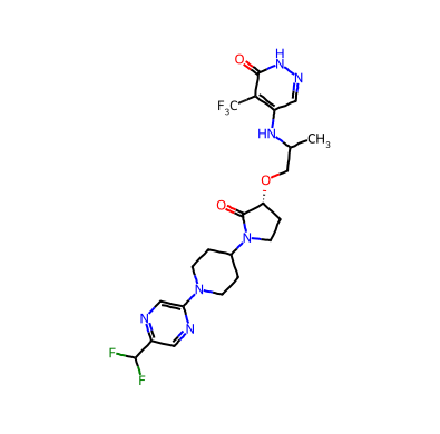 CC(CO[C@@H]1CCN(C2CCN(c3cnc(C(F)F)cn3)CC2)C1=O)Nc1cn[nH]c(=O)c1C(F)(F)F